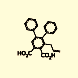 C=CCc1c(C(=O)O)c(C(=O)O)cc(-c2ccccc2)c1-c1ccccc1